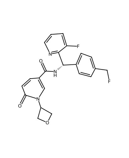 O=C(N[C@@H](c1ccc(CF)cc1)c1ncccc1F)c1ccc(=O)n(C2COC2)c1